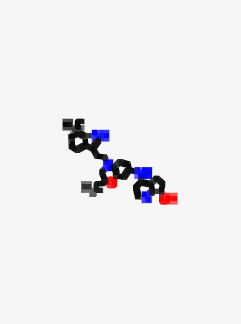 Cc1cccc2c(CCN3CC(C)Oc4cc(Nc5ccnc6c5CCC6O)ccc43)c[nH]c12